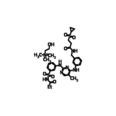 CCC(=O)NS(=O)(=O)c1cccc(Nc2ncc(C)c(Nc3cccc(CNC(=O)CCS(=O)(=O)C4CC4)c3)n2)c1.C[N+](C)(C)CCO